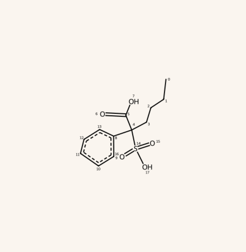 CCCCC(C(=O)O)(c1ccccc1)S(=O)(=O)O